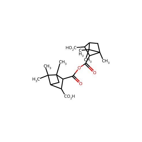 CC1(C)C2CC1(C)C(C(=O)OC(=O)C1C(C(=O)O)C3CC1(C)C3(C)C)C2C(=O)O